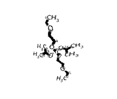 CCOCC[O][Ti]([O]CCOCC)([O]C(C)C)[O]C(C)C